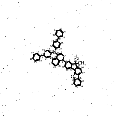 CC1(C)c2cc(C3CC=C(N(C4=CCC(c5ccccc5)C=C4)c4ccc(-c5ccccc5)cc4)c4ccccc43)ccc2-c2c1ccc1c2oc2ccccc21